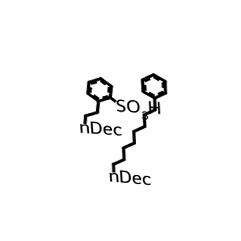 CCCCCCCCCCCCCCCCCCc1ccccc1.CCCCCCCCCCCCc1ccccc1S(=O)(=O)O